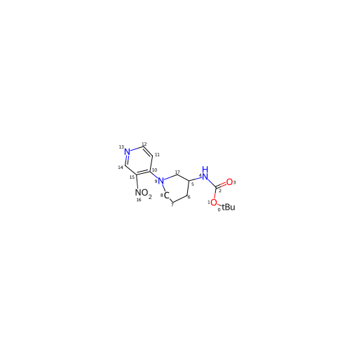 CC(C)(C)OC(=O)NC1CCCN(c2ccncc2[N+](=O)[O-])C1